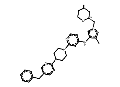 Cc1nn(C[C@@H]2CNCCO2)cc1Nc1ncnc(N2CCN(c3ncc(Cc4ccccc4)cn3)CC2)n1